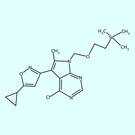 Cc1c(-c2cc(C3CC3)on2)c2c(Cl)ncnc2n1COCC[Si](C)(C)C